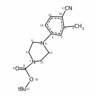 Cc1cc(N2CCN(C(=O)OC(C)(C)C)CC2)ccc1C#N